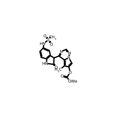 COC(=O)Oc1cn2ncnc(C3C(=O)Nc4ccc(NS(C)(=O)=O)cc43)c2c1C